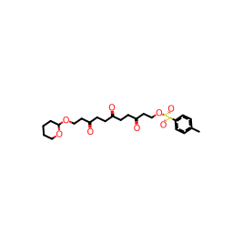 Cc1ccc(S(=O)(=O)OCCC(=O)CCC(=O)CCC(=O)CCOC2CCCCO2)cc1